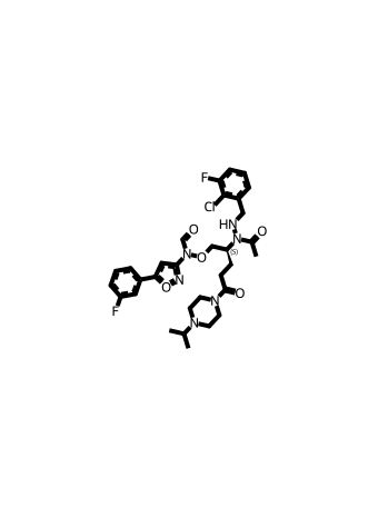 CC(=O)N(NCc1cccc(F)c1Cl)[C@@H](CCC(=O)N1CCN(C(C)C)CC1)CON(C=O)c1cc(-c2cccc(F)c2)on1